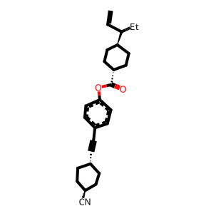 C=CC(CC)[C@H]1CC[C@H](C(=O)Oc2ccc(C#C[C@H]3CC[C@H](C#N)CC3)cc2)CC1